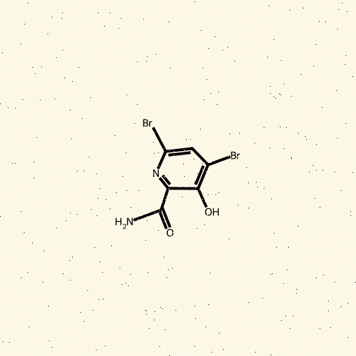 NC(=O)c1nc(Br)cc(Br)c1O